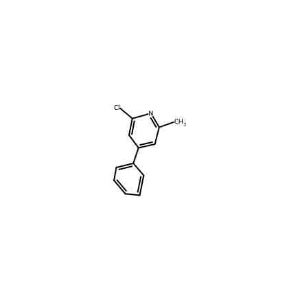 Cc1cc(-c2ccccc2)cc(Cl)n1